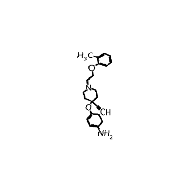 C#CC1(OC2=CC=C(N)CC2)CCN(CCOc2ccccc2C)CC1